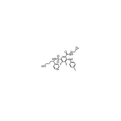 O=C(NOCC1CC1)c1cc(S(=O)(=O)NC(CCCO)c2ccncc2)c(F)c(F)c1Nc1ccc(I)cc1